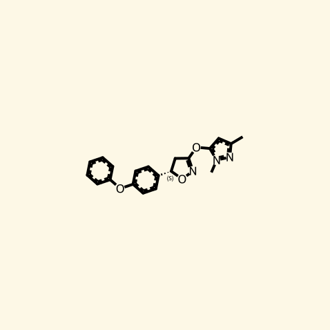 Cc1cc(OC2=NO[C@H](c3ccc(Oc4ccccc4)cc3)C2)n(C)n1